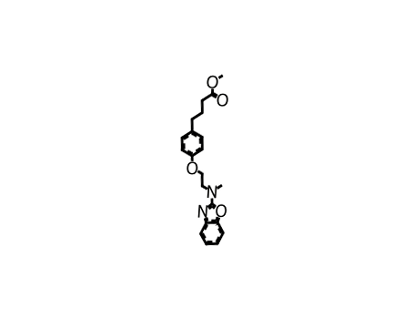 COC(=O)CCCc1ccc(OCCN(C)c2nc3ccccc3o2)cc1